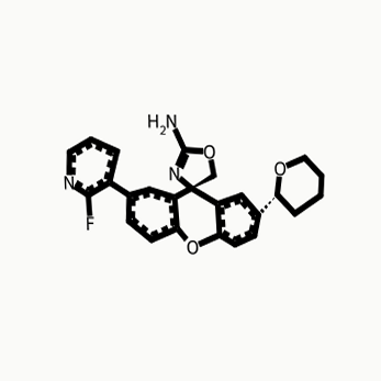 NC1=N[C@@]2(CO1)c1cc(-c3cccnc3F)ccc1Oc1ccc([C@H]3CCCCO3)cc12